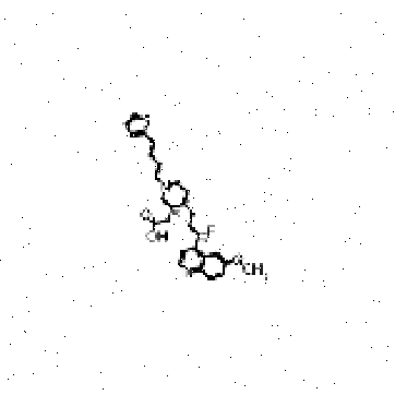 COc1ccc2nccc([C@@H](F)CC[C@@H]3CCN(CCCCc4cccs4)C[C@@H]3CC(=O)O)c2c1